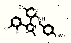 COc1ccc(CNc2ncc(Br)cc2-c2nc(C)oc2-c2cccc(Cl)c2F)cc1